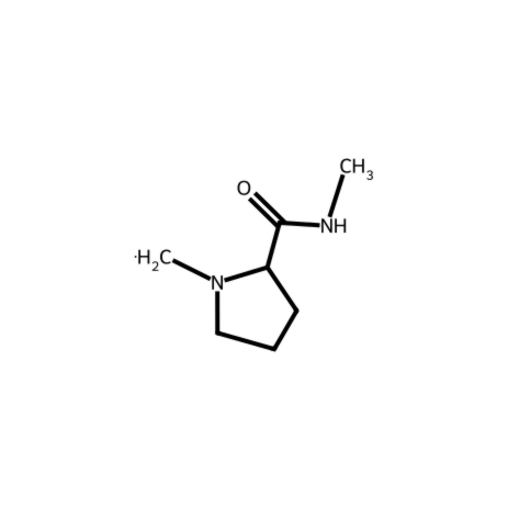 [CH2]N1CCCC1C(=O)NC